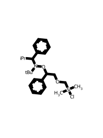 CC(C)C(c1ccccc1)N(OC(COC[Si](C)(C)Cl)c1ccccc1)C(C)(C)C